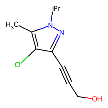 Cc1c(Cl)c(C#CCO)nn1C(C)C